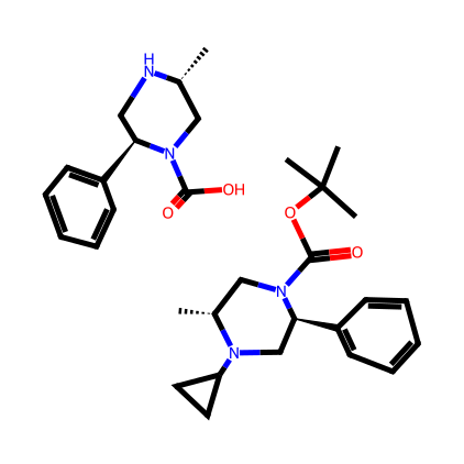 C[C@@H]1CN(C(=O)O)[C@@H](c2ccccc2)CN1.C[C@@H]1CN(C(=O)OC(C)(C)C)[C@@H](c2ccccc2)CN1C1CC1